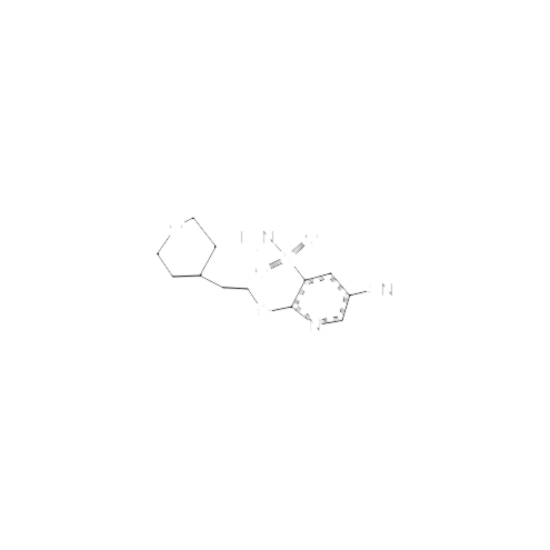 N#Cc1cnc(OCCC2CCOCC2)c(S(N)(=O)=O)c1